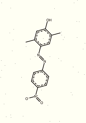 Cc1cc(N=Nc2ccc([N+](=O)[O-])cc2)c(C)cc1O